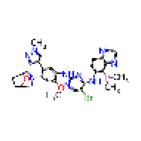 COc1cc(N2CC3CCC(C2)O3)c(-c2cnn(C)c2)cc1Nc1ncc(Br)c(Nc2ccc3nccnc3c2P(C)C)n1